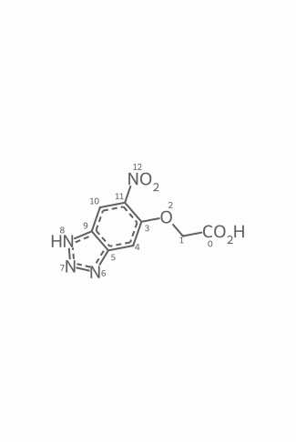 O=C(O)COc1cc2nn[nH]c2cc1[N+](=O)[O-]